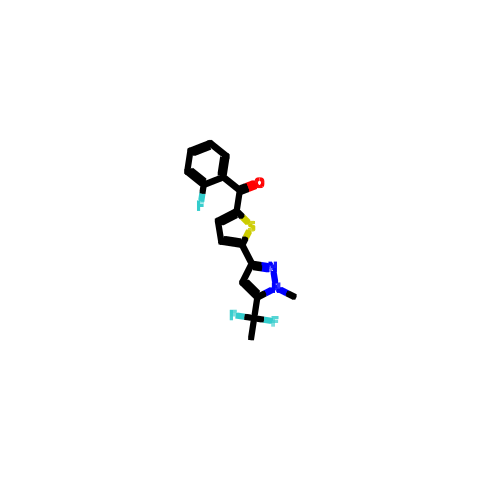 Cn1nc(-c2ccc(C(=O)c3ccccc3F)s2)cc1C(C)(F)F